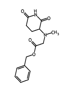 CN(CC(=O)OCc1ccccc1)C1CCC(=O)NC1=O